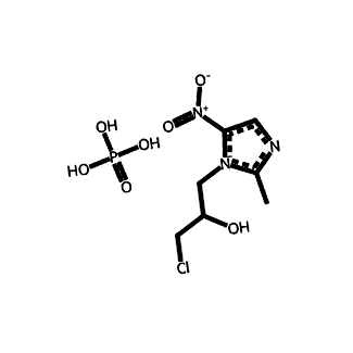 Cc1ncc([N+](=O)[O-])n1CC(O)CCl.O=P(O)(O)O